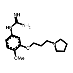 COc1ccc(NC(=N)N)cc1OCCCN1CCCC1